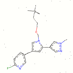 Cn1cc(-c2cc(-c3ccc(F)nc3)cn2COCC[Si](C)(C)C)cn1